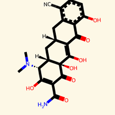 CN(C)[C@H]1C(O)=C(C(N)=O)C(=O)[C@@]2(O)C(O)=C3C(=O)c4c(O)ccc(C#N)c4C[C@H]3C[C@@H]12